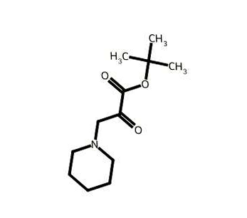 CC(C)(C)OC(=O)C(=O)CN1CCCCC1